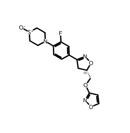 [O-][S+]1CCN(c2ccc(C3=NO[C@H](COc4ccon4)C3)cc2F)CC1